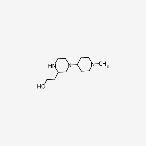 CN1CCC(N2CCNC(CCO)C2)CC1